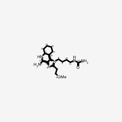 COCCc1nc2c(n1CCCCNC(N)=O)=C1CCCCC1NC=2N